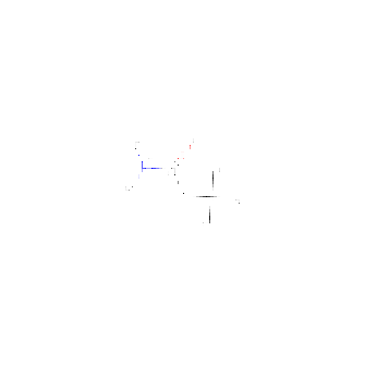 [CH2]C(C)(C)CC(=O)N(C)C